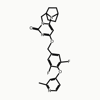 Cc1cc(Oc2c(F)cc(COc3cc4n(c(=O)n3)CC35CCC(CC3)N45)cc2F)ccn1